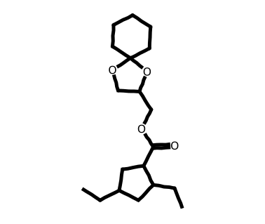 CCC1CC(CC)C(C(=O)OCC2COC3(CCCCC3)O2)C1